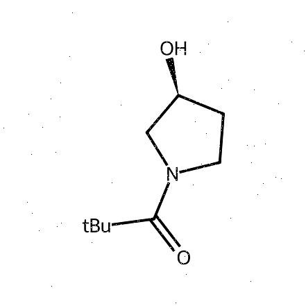 CC(C)(C)C(=O)N1CC[C@H](O)C1